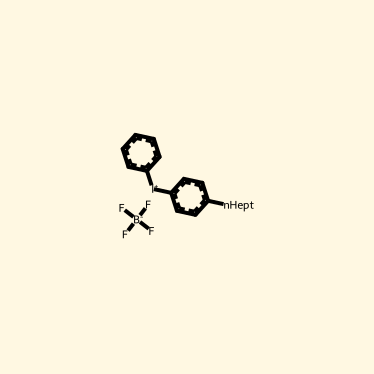 CCCCCCCc1ccc([I+]c2ccccc2)cc1.F[B-](F)(F)F